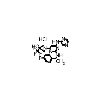 C[C@H](Nc1nc(Nc2cnccn2)cc(N2CC(O)(C(F)(F)F)C2)n1)c1ccc(F)cc1.Cl